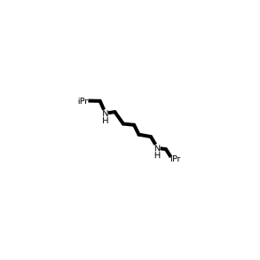 CC(C)CNCCCCCNCC(C)C